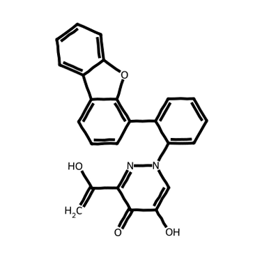 C=C(O)c1nn(-c2ccccc2-c2cccc3c2oc2ccccc23)cc(O)c1=O